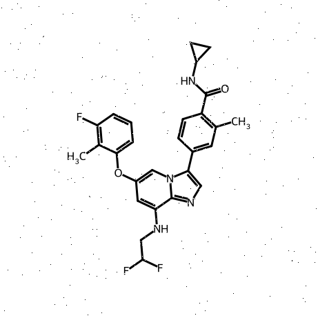 Cc1cc(-c2cnc3c(NCC(F)F)cc(Oc4cccc(F)c4C)cn23)ccc1C(=O)NC1CC1